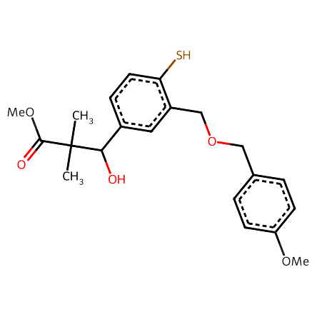 COC(=O)C(C)(C)C(O)c1ccc(S)c(COCc2ccc(OC)cc2)c1